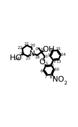 CC(O)(COc1ccc([N+](=O)[O-])cc1-c1ccccc1)CN1CCCC(O)C1